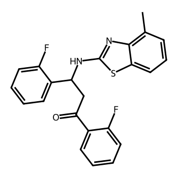 Cc1cccc2sc(NC(CC(=O)c3ccccc3F)c3ccccc3F)nc12